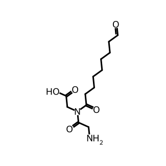 NCC(=O)N(CC(=O)O)C(=O)CCCCCCCC=O